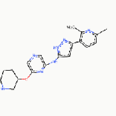 COc1nc(C)ccc1-c1cc(Nc2cncc(OC3CCCNC3)n2)[nH]n1